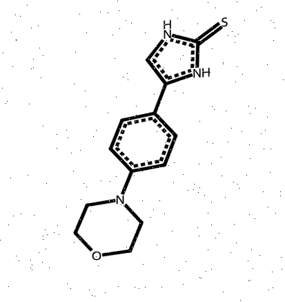 S=c1[nH]cc(-c2ccc(N3CCOCC3)cc2)[nH]1